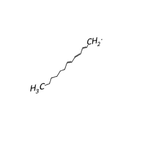 [CH2]C=CC=CC=CCCCCCC